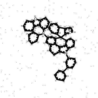 c1ccc(-c2cccc(-n3c4cccc5c4c4c6c(cc(N(c7ccccc7)c7cccc8oc9ccccc9c78)cc6ccc43)C53c4ccccc4-c4ccccc43)c2)cc1